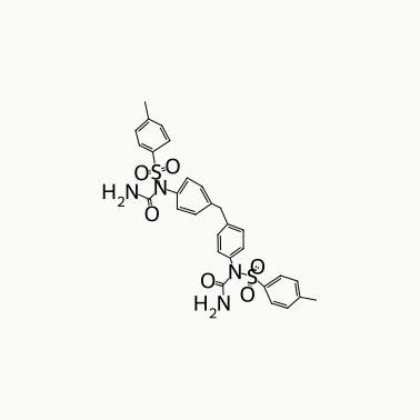 Cc1ccc(S(=O)(=O)N(C(N)=O)c2ccc(Cc3ccc(N(C(N)=O)S(=O)(=O)c4ccc(C)cc4)cc3)cc2)cc1